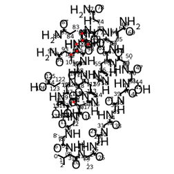 CC(C)[C@H](NC(=O)[C@H](C)NC(=O)CNC(=O)[C@H](C)N)C(=O)N[C@@H](C)C(=O)NCC(=O)NCC(=O)NCC(=O)NCC(=O)N[C@@H](CO)C(=O)N[C@@H](C)C(=O)N[C@@H](Cc1c[nH]cn1)C(=O)N[C@@H](CCC(N)=O)C(=O)N[C@@H](CCC(N)=O)C(=O)N[C@@H](CCC(N)=O)C(=O)N[C@@H](CCC(N)=O)C(=O)N[C@@H](CCCNC(=N)N)C(=O)N[C@@H](Cc1c[nH]cn1)C(=O)N[C@@H](CCC(=O)O)C(=O)N[C@@H](CO)C(=O)O